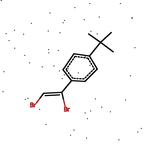 CC(C)(C)c1ccc(C(Br)=CBr)cc1